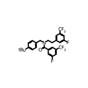 CC(C)(C)c1ccc(CN(CCc2cc(F)cc(C(F)(F)F)c2)C(=O)c2cc(F)cc(C(F)(F)F)c2)cc1